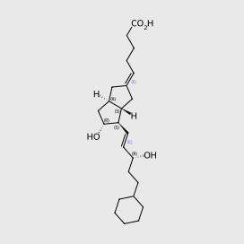 O=C(O)CCC/C=C1\C[C@@H]2C[C@@H](O)[C@H](/C=C/[C@H](O)CCC3CCCCC3)[C@H]2C1